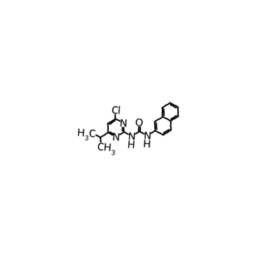 CC(C)c1cc(Cl)nc(NC(=O)Nc2ccc3ccccc3c2)n1